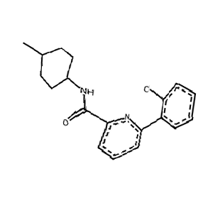 CC1CCC(NC(=O)c2cccc(-c3ccccc3Cl)n2)CC1